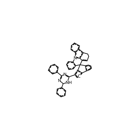 C1=C2c3c(c4ccccc4n3-c3ccccc3C23c2ccccc2-c2ccc(C4=NC(c5ccccc5)=NC(c5ccccc5)N4)cc23)CC1